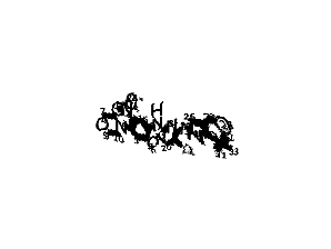 COc1cc(N2CCOCC2)c([N+](=O)[O-])cc1Nc1ncc(C)c(-n2cc(C=O)c(C(C)(C)C)n2)n1